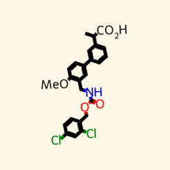 COc1ccc(-c2cccc(C(C)C(=O)O)c2)cc1CNC(=O)OCc1ccc(Cl)cc1Cl